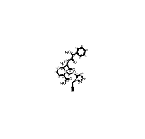 C#CCn1nnnc1SC[N+]12C(=O)C(NC(=O)C(O)c3ccccc3)[C@@H]1SCC=C2C(=O)O